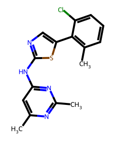 Cc1cc(Nc2ncc(-c3c(C)cccc3Cl)s2)nc(C)n1